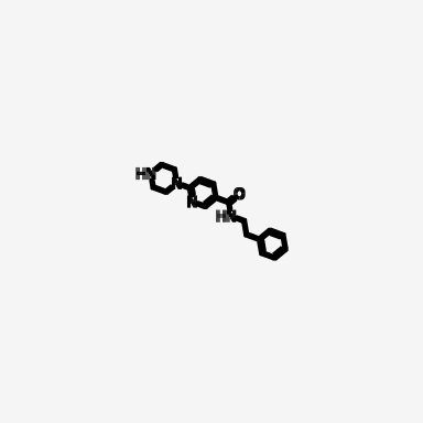 O=C(NCCc1ccccc1)c1ccc(N2CCNCC2)nc1